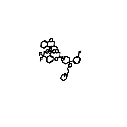 O=C(COCC1COc2ccccc2N1S(=O)(=O)c1ccccc1C(F)(F)F)N1CCC(OCCN2CCCC2)(c2cccc(F)c2)CC1